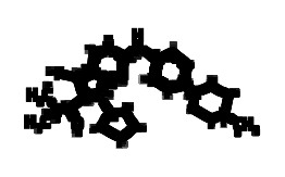 CN1CCN(c2ccc(Nc3ncc4c(F)c(C(=O)N(C)C)n(C5CCCC5)c4n3)nc2)CC1